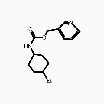 CCC1CCC(NC(=O)OCc2cccnc2)CC1